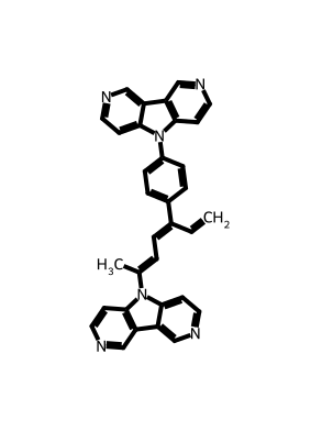 C=C/C(=C\C=C(/C)n1c2ccncc2c2cnccc21)c1ccc(-n2c3ccncc3c3cnccc32)cc1